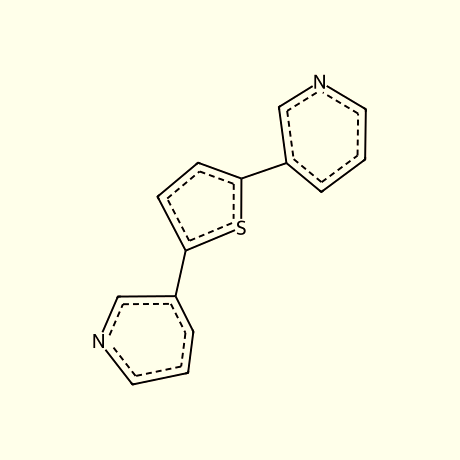 c1cncc(-c2ccc(-c3cccnc3)s2)c1